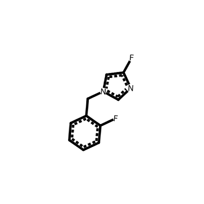 Fc1cn(Cc2ccccc2F)cn1